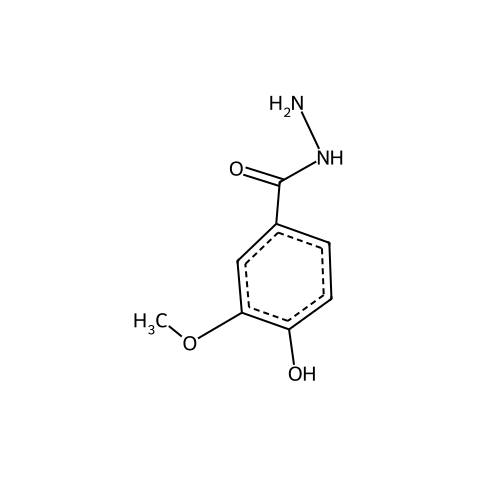 COc1cc(C(=O)NN)ccc1O